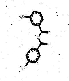 Cc1ccc(C(=O)OC(=O)c2cccc(C)c2)cc1